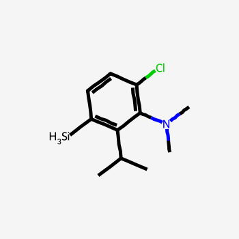 CC(C)c1c([SiH3])ccc(Cl)c1N(C)C